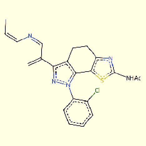 C=C(/C=N\C=C/C)c1nn(-c2ccccc2Cl)c2c1CCc1nc(NC(C)=O)sc1-2